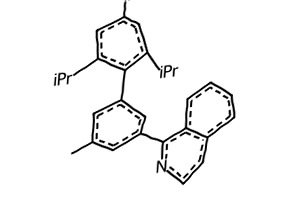 Cc1cc(-c2c(C(C)C)cc(C(C)C)cc2C(C)C)cc(-c2nccc3ccccc23)c1